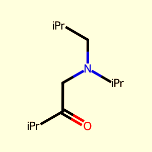 CC(C)CN(CC(=O)C(C)C)C(C)C